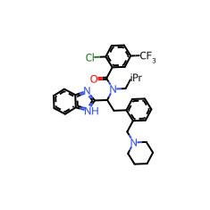 CC(C)CN(C(=O)c1cc(C(F)(F)F)ccc1Cl)C(Cc1ccccc1CN1CCCCC1)c1nc2ccccc2[nH]1